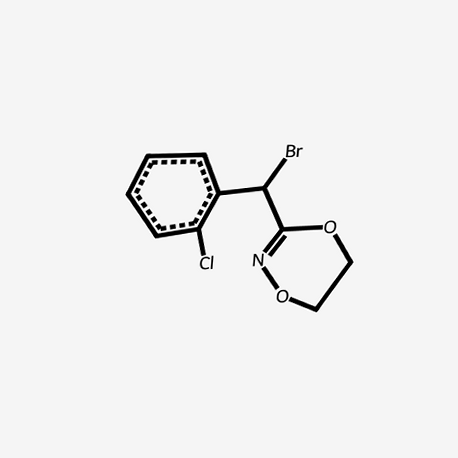 Clc1ccccc1C(Br)C1=NOCCO1